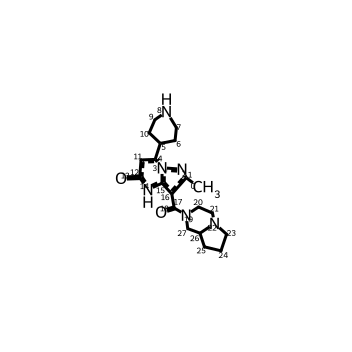 Cc1nn2c(C3CCNCC3)cc(=O)[nH]c2c1C(=O)N1CCN2CCCC2C1